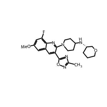 COc1cc(F)c2nc(N3CCC(N[C@H]4CCCOC4)CC3)c(-c3nc(C)no3)cc2c1